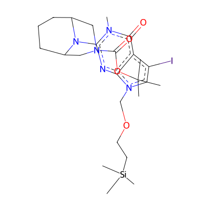 Cn1c(N2C3CCCC2CN(C(=O)OC(C)(C)C)C3)nc2c(c(I)cn2COCC[Si](C)(C)C)c1=O